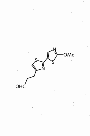 COc1ncc(-c2nc(CCC=O)cs2)s1